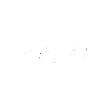 CC(C)(C)OC(=O)N[C@@H](O)CCc1ccccc1